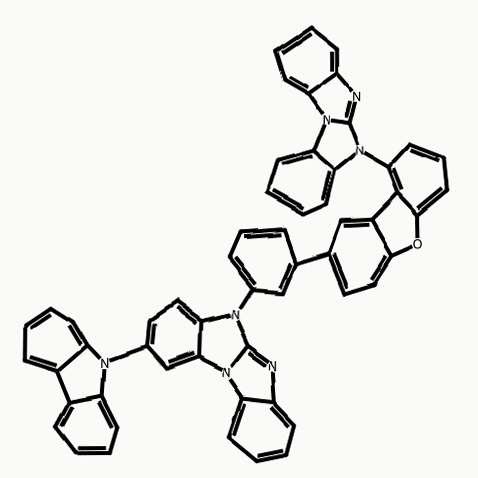 c1cc(-c2ccc3oc4cccc(-n5c6ccccc6n6c7ccccc7nc56)c4c3c2)cc(-n2c3ccc(-n4c5ccccc5c5ccccc54)cc3n3c4ccccc4nc23)c1